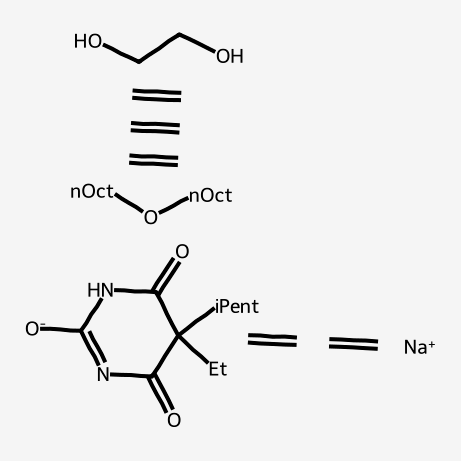 C=C.C=C.C=C.C=C.C=C.CCCC(C)C1(CC)C(=O)N=C([O-])NC1=O.CCCCCCCCOCCCCCCCC.OCCO.[Na+]